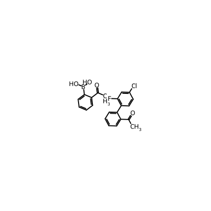 CC(=O)c1ccccc1-c1ccc(Cl)cc1F.CC(=O)c1ccccc1B(O)O